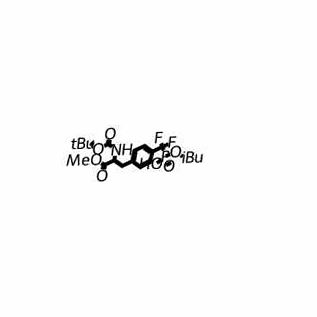 CCC(C)OP(=O)(O)C(F)(F)c1ccc(CC(NC(=O)OC(C)(C)C)C(=O)OC)cc1